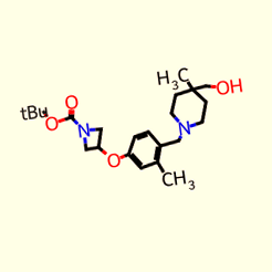 Cc1cc(OC2CN(C(=O)OC(C)(C)C)C2)ccc1CN1CCC(C)(CO)CC1